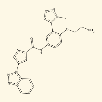 Cn1nccc1-c1cc(NC(=O)c2cc(-n3nnc4ccccc43)cs2)ccc1OCCN